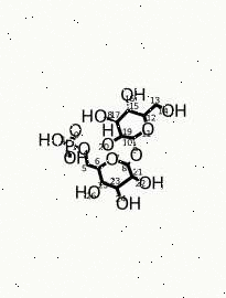 O=P(O)(O)OCC1O[C@H](O[C@H]2OC(CO)[C@@H](O)[C@H](O)C2O)C(O)C(O)[C@@H]1O